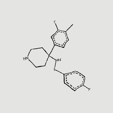 Cc1ccc(C2(NSc3ccc(F)cc3)CCNCC2)cc1F